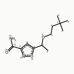 CC(OCCC(C)(C)C)c1cc(C(N)=O)no1